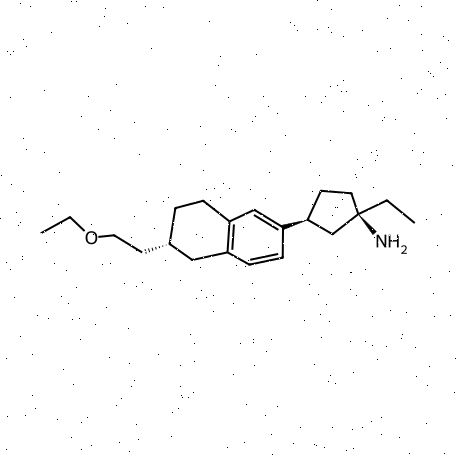 CCOCC[C@@H]1CCc2cc([C@H]3CC[C@](N)(CC)C3)ccc2C1